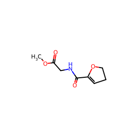 COC(=O)CNC(=O)C1=CCCO1